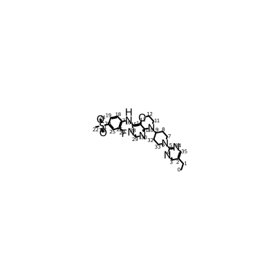 CCc1cnc(N2CCC(N3CCOc4c(Nc5ccc(S(C)(=O)=O)cc5F)ncnc43)CC2)nc1